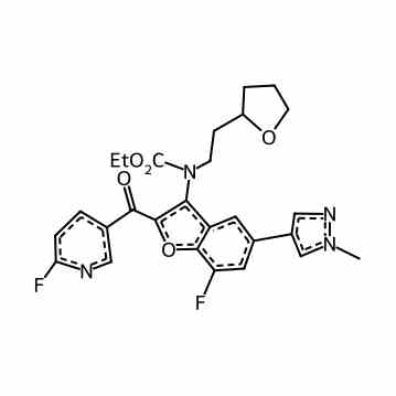 CCOC(=O)N(CCC1CCCO1)c1c(C(=O)c2ccc(F)nc2)oc2c(F)cc(-c3cnn(C)c3)cc12